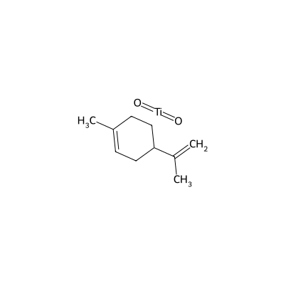 C=C(C)C1CC=C(C)CC1.[O]=[Ti]=[O]